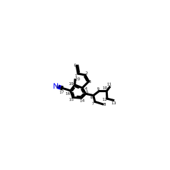 C=C/C=C\c1c(C(CC)CC(C)CC)ccc(C#N)c1C